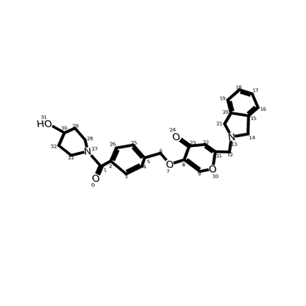 O=C(c1ccc(COc2coc(CN3Cc4ccccc4C3)cc2=O)cc1)N1CCC(O)CC1